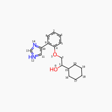 OC(COc1ccccc1-c1c[nH]cn1)C1CCCCC1